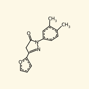 Cc1ccc(N2N=C(c3ccco3)CC2=O)cc1C